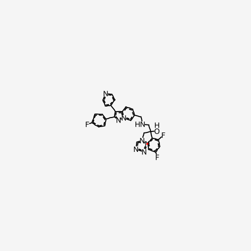 OC(CNCc1ccc2c(-c3ccncc3)c(-c3ccc(F)cc3)nn2c1)(Cn1cnnn1)c1ccc(F)cc1F